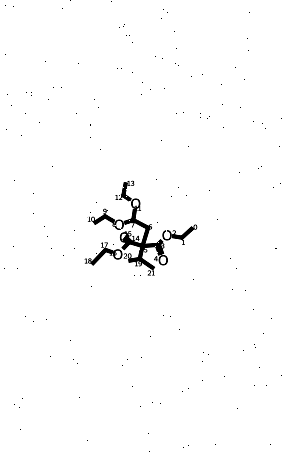 CCOC(=O)C(CC(OCC)OCC)(C(=O)OCC)C(C)C